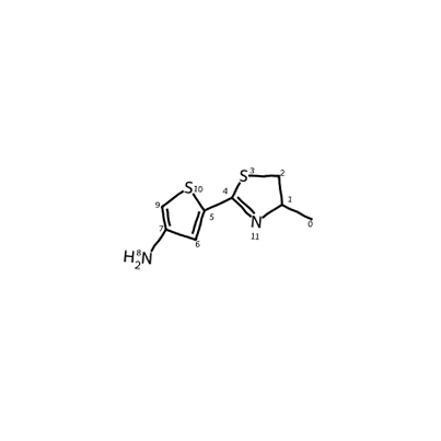 CC1CSC(c2cc(N)cs2)=N1